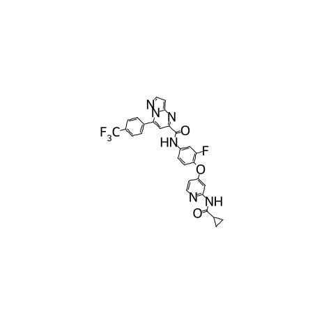 O=C(Nc1ccc(Oc2ccnc(NC(=O)C3CC3)c2)c(F)c1)c1cc(-c2ccc(C(F)(F)F)cc2)n2nccc2n1